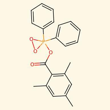 Cc1cc(C)c(C(=O)OP2(c3ccccc3)(c3ccccc3)OO2)c(C)c1